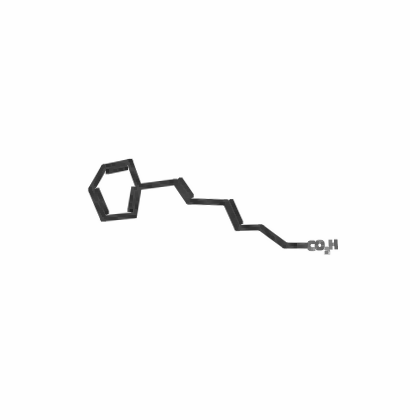 O=C(O)CC/C=C/C=C/c1ccccc1